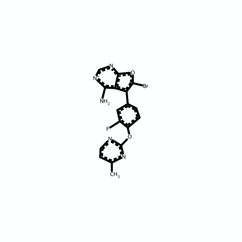 Cc1ccnc(Oc2ccc(-c3c(Br)oc4ncnc(N)c34)cc2F)n1